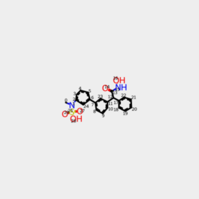 CN(c1cccc(-c2cccc(C(C(=O)NO)c3ccccc3)c2)c1)S(=O)(=O)O